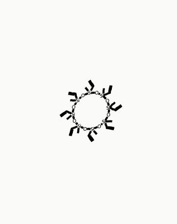 C=C[Si]1(C)O[Si](C)(C=C)O[Si](C)(C=C)O[Si](C)(C=C)O[Si](C)(C=C)O[Si](C)(C=C)O[Si](C)(C=C)O[Si](C)(C=C)O1